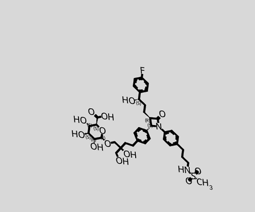 CS(=O)(=O)NCCCc1ccc(N2C(=O)[C@H](CC[C@H](O)c3ccc(F)cc3)[C@H]2c2ccc(CCC(O)(CO)CO[C@@H]3O[C@H](C(=O)O)[C@@H](O)[C@H](O)[C@H]3O)cc2)cc1